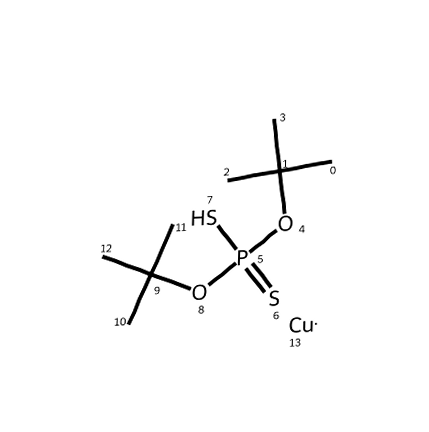 CC(C)(C)OP(=S)(S)OC(C)(C)C.[Cu]